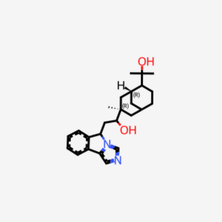 CC(C)(O)C1CCC2C[C@@H]1C[C@](C)(C(O)CC1c3ccccc3-c3cncn31)C2